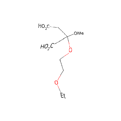 CCOCCOC(CC(=O)O)(OC)C(=O)O